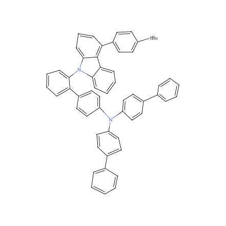 CC(C)(C)c1ccc(-c2cccc3c2c2ccccc2n3-c2ccccc2-c2ccc(N(c3ccc(-c4ccccc4)cc3)c3ccc(-c4ccccc4)cc3)cc2)cc1